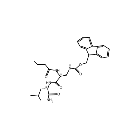 CCCC(=O)N[C@@H](CNC(=O)OCC1c2ccccc2-c2ccccc21)C(=O)N[C@@H](CC(C)C)C(N)=O